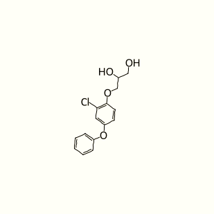 OCC(O)COc1ccc(Oc2ccccc2)cc1Cl